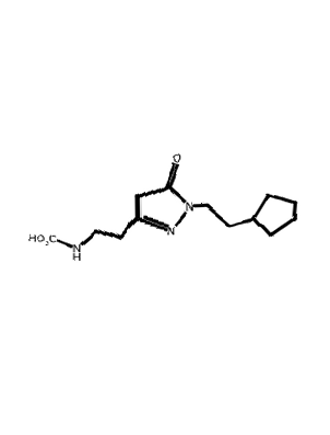 O=C(O)NCCC1=NN(CCC2CCCC2)C(=O)C1